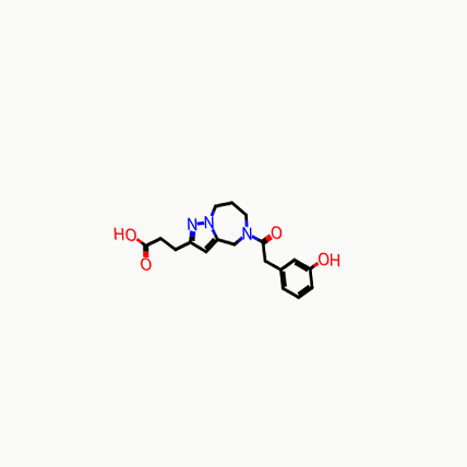 O=C(O)CCc1cc2n(n1)CCCN(C(=O)Cc1cccc(O)c1)C2